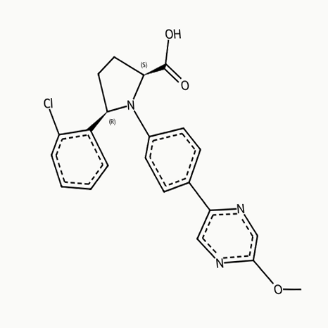 COc1cnc(-c2ccc(N3[C@@H](c4ccccc4Cl)CC[C@H]3C(=O)O)cc2)cn1